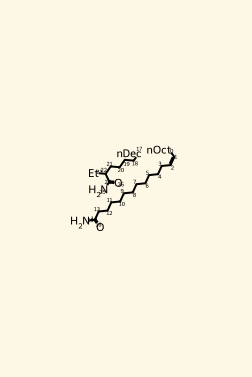 CCCCCCCC/C=C\CCCCCCCCCCCC(N)=O.CCCCCCCCCCCCCCC(CC)C(N)=O